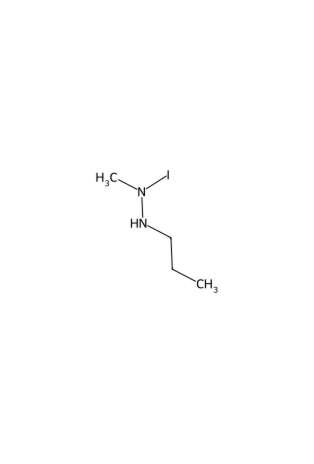 CCCNN(C)I